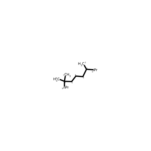 [CH2]C(C)C(C)CCCC(C)(C)CCC